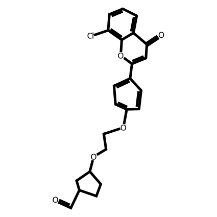 O=CC1CCC(OCCOc2ccc(-c3cc(=O)c4cccc(Cl)c4o3)cc2)C1